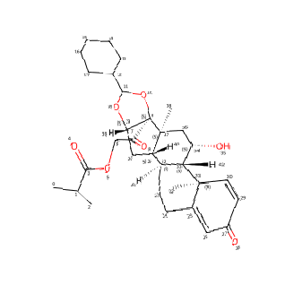 CC(C)C(=O)OCC(=O)[C@@]12OC(C3CCCCC3)O[C@H]1C[C@H]1[C@@H]3CCC4=CC(=O)C=C[C@]4(C)[C@H]3[C@@H](O)C[C@@]12C